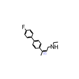 CCNC/C=C(/C)c1ccc(-c2ccc(F)cc2)cc1